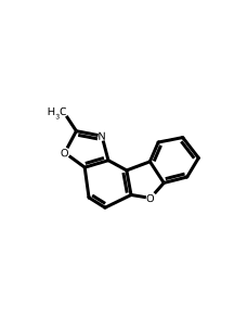 Cc1nc2c(ccc3oc4ccccc4c32)o1